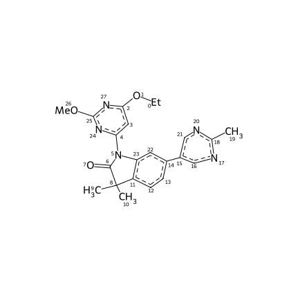 CCOc1cc(N2C(=O)C(C)(C)c3ccc(-c4cnc(C)nc4)cc32)nc(OC)n1